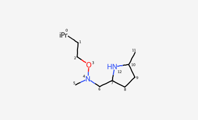 CC(C)CCON(C)CC1CCC(C)N1